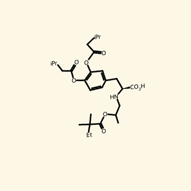 CCC(C)(C)C(=O)OC(C)CN[C@@H](Cc1ccc(OC(=O)CC(C)C)c(OC(=O)CC(C)C)c1)C(=O)O